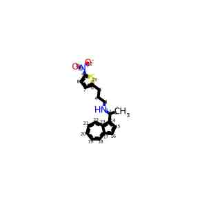 CC(NCCCc1ccc([N+](=O)[O-])s1)c1ccc2cccccc1-2